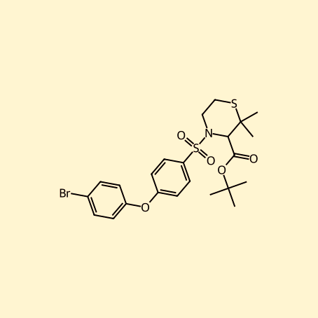 CC(C)(C)OC(=O)C1N(S(=O)(=O)c2ccc(Oc3ccc(Br)cc3)cc2)CCSC1(C)C